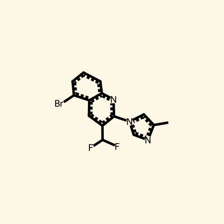 Cc1cn(-c2nc3cccc(Br)c3cc2C(F)F)cn1